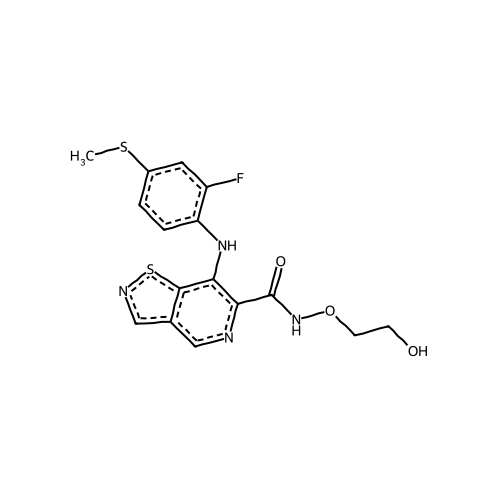 CSc1ccc(Nc2c(C(=O)NOCCO)ncc3cnsc23)c(F)c1